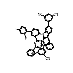 N#Cc1cc(C#N)cc(-c2ccc3c4ccc(-c5cc(C#N)cc(C#N)c5)cc4n(-c4ccc(-c5ccc(F)cc5F)cc4-c4nc(-c5ccccc5)nc(-c5ccccc5)n4)c3c2)c1